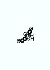 COc1ccc(NC(=O)c2cc3cc(OC)ccc3cc2O)cc1